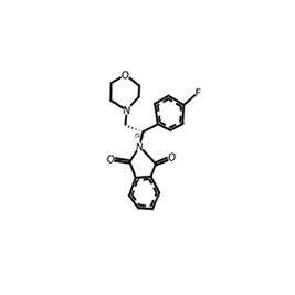 O=C1c2ccccc2C(=O)N1[C@H](CN1CCOCC1)c1ccc(F)cc1